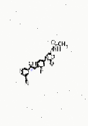 CC(=O)NC[C@H]1CN(c2ccc(/C=C(\C)c3cncc(C#N)c3)c(F)c2)C(=O)O1